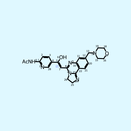 CC(=O)Nc1ccc(/C(O)=C/C2=Nc3cc(CN4CCOCC4)ccc3C3=NCCN23)cn1